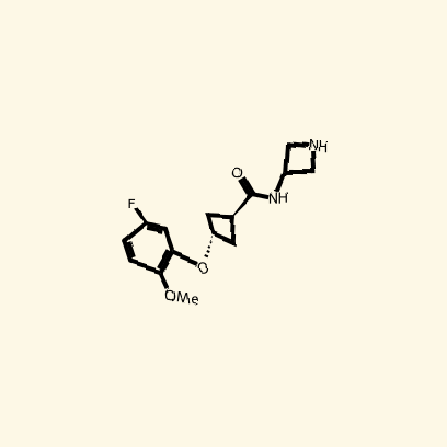 COc1ccc(F)cc1O[C@H]1C[C@H](C(=O)NC2CNC2)C1